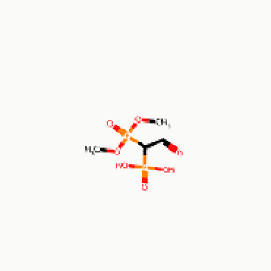 COP(=O)(OC)C(C=O)P(=O)(O)O